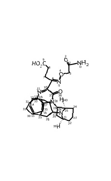 NC(=O)CO/N=C(\CCC(=O)O)c1nc2ccccc2n([C@@H]2C[C@@H]3CCC[C@H]2N3C2CC3CCCCC(C3)C2)c1=O